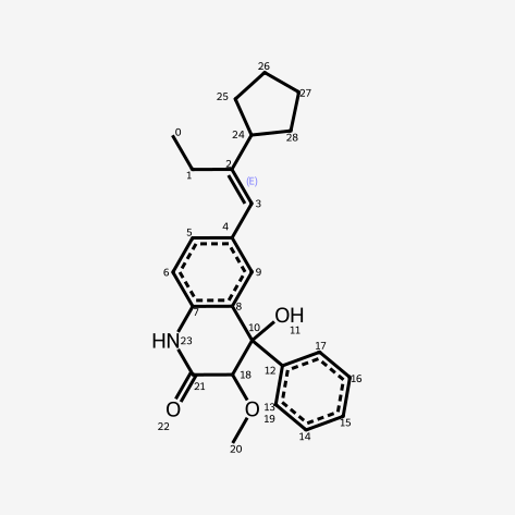 CC/C(=C\c1ccc2c(c1)C(O)(c1ccccc1)C(OC)C(=O)N2)C1CCCC1